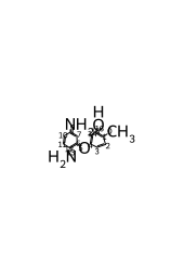 Cc1ccc(Oc2cc(N)ccc2N)cc1O